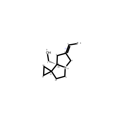 OC[C@]12C/C(=C/F)CN1CCC21CC1